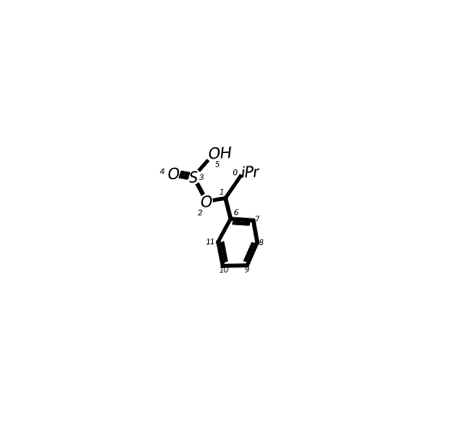 CC(C)C(OS(=O)O)c1ccccc1